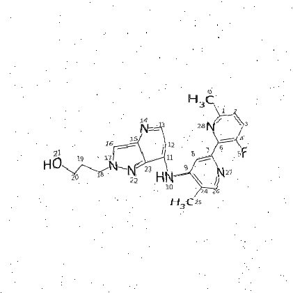 Cc1ccc(F)c(-c2cc(Nc3ccnc4cn(CCCO)nc34)c(C)cn2)n1